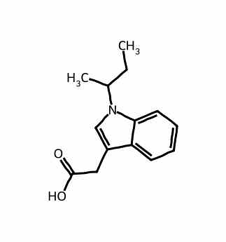 CCC(C)n1cc(CC(=O)O)c2ccccc21